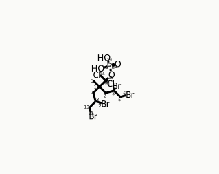 CC(CC(Br)CBr)(CC(Br)CBr)C(Cl)(Cl)OP(=O)(O)O